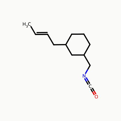 C/C=C/CC1CCCC(CN=C=O)C1